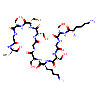 NCCCC[C@H](NC(=O)[C@H](CO)NC(=O)CNC(=O)[C@H](CO)NC(=O)[C@@H](N)CCCCN)C(=O)N[C@@H](CO)C(=O)NCC(=O)N[C@@H](CO)C(=O)N[C@@H](CS)C(=O)N[C@@H](CO)C(=O)NCC(=O)N[C@@H](CO)C(=O)O